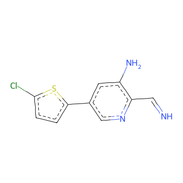 N=Cc1ncc(-c2ccc(Cl)s2)cc1N